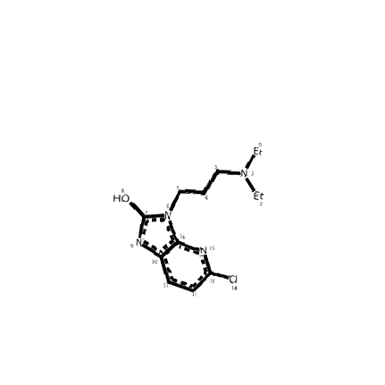 CCN(CC)CCCn1c(O)nc2ccc(Cl)nc21